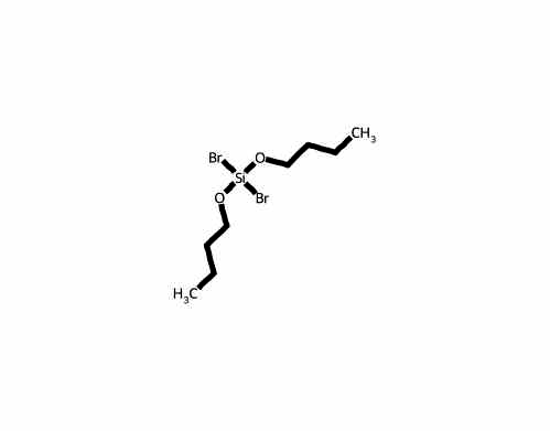 CCCCO[Si](Br)(Br)OCCCC